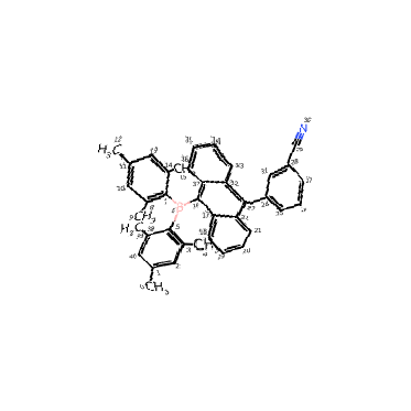 Cc1cc(C)c(B(c2c(C)cc(C)cc2C)c2c3ccccc3c(-c3cccc(C#N)c3)c3ccccc23)c(C)c1